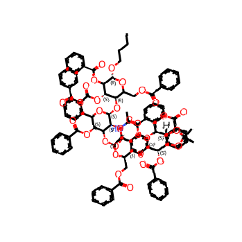 CCCCO[C@@H]1OC(COC(=O)c2ccccc2)[C@@H](O[C@@H]2OC(COC(=O)c3ccccc3)[C@H](OC(=O)c3ccccc3)C(O[C@@H]3OC(COC(=O)c4ccccc4)[C@@H](O[C@@H]4OC(COC(=O)c5ccccc5)[C@@H]5OC(C)(C)OC5[C@@H]4OC(=O)c4ccccc4)C(OC(=O)c4ccccc4)[C@@H]3NC(C)=O)[C@@H]2OC(=O)c2ccccc2)[C@H](OC(=O)c2ccccc2)C1OC(=O)c1ccccc1